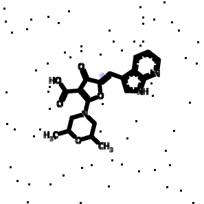 CC1CN(C2=C(C(=O)O)C(=O)/C(=C/c3c[nH]c4ncccc34)O2)CC(C)O1